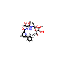 COC(=O)[C@@H]1OB([C@H](CC(C)C)NC(=O)[C@@H](NC(=O)c2cccc(-c3ccccc3)n2)C(C)O)OC(=O)[C@@H]1O